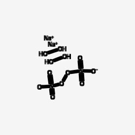 O=S(=O)([O-])OOS(=O)(=O)[O-].OO.OO.[Na+].[Na+]